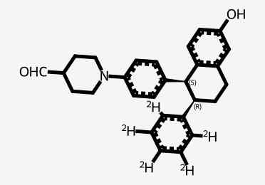 [2H]c1c([2H])c([2H])c([C@@H]2CCc3cc(O)ccc3[C@@H]2c2ccc(N3CCC(C=O)CC3)cc2)c([2H])c1[2H]